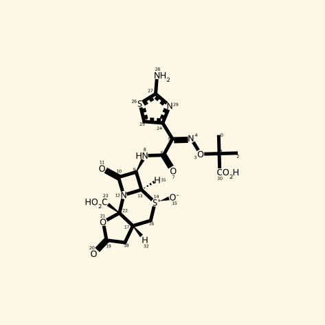 CC(C)(O/N=C(\C(=O)N[C@@H]1C(=O)N2[C@@H]1[S@@+]([O-])C[C@@H]1CC(=O)O[C@@]12C(=O)O)c1csc(N)n1)C(=O)O